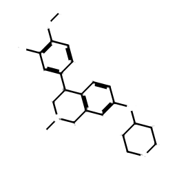 COc1ccc(C2CN(C)Cc3cc(OC4CCNCC4)ccc32)cc1F